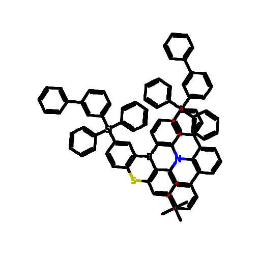 CC(C)(C)c1cc2c3c(c1)N(c1c(-c4ccccc4)cccc1-c1ccccc1)c1cc([Si](c4ccccc4)(c4ccccc4)c4cccc(-c5ccccc5)c4)ccc1B3c1cc([Si](c3ccccc3)(c3ccccc3)c3cccc(-c4ccccc4)c3)ccc1S2